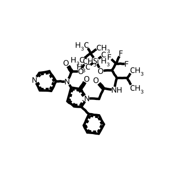 COC(=O)N(c1ccncc1)c1ccc(-c2ccccc2)n(CC(=O)NC(C(C)C)C(O[Si](C)(C)C(C)(C)C)C(F)(F)F)c1=O